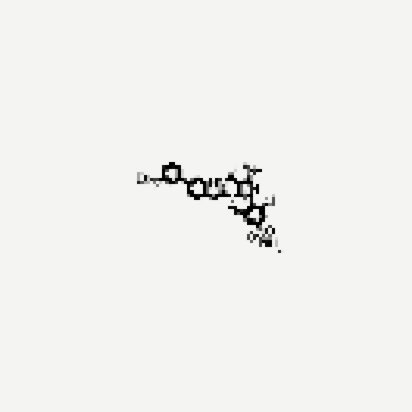 CCSc1cccc(-c2ccc(Cc3nc4c(c(N(C)C)nn4-c4c(Cl)cc(S(N)(=O)=O)cc4Cl)c(=O)[nH]3)cc2)c1